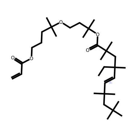 C=CC(=O)OCCCC(C)(C)OCCC(C)(C)OC(=O)C(C)(C)CC(C)(/C=C/C(C)(C)CC(C)(C)C)CC